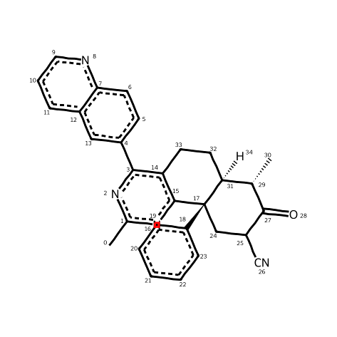 Cc1nc(-c2ccc3ncccc3c2)c2c(n1)[C@@]1(c3ccccc3)CC(C#N)C(=O)[C@@H](C)[C@@H]1CC2